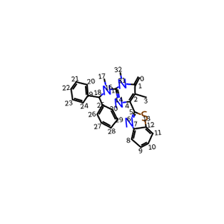 C=C1C(C)=C(c2nc3ccccc3s2)N=C(N(C)C(c2ccccc2)c2ccccc2)N1C